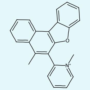 Cc1c(-c2cccc[n+]2C)c2oc3ccccc3c2c2ccccc12